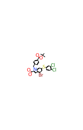 COC(=O)c1cc2c(Br)cc(Sc3ccc(Cl)c(Cl)c3)cc2n1Cc1ccc(C(=O)OC(C)(C)C)cc1